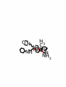 CC1C/C=C(NCC2CCN(CCCNC3CCCCC3)CC2)/N=C(N)\C=C/1N1CCN(CCN2CCOCC2)CC1